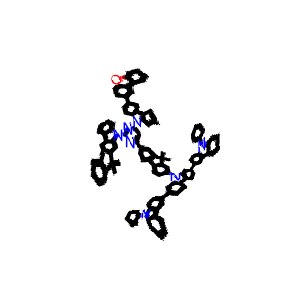 CC1(C)c2cc(-c3cc(-n4c5ccccc5c5cc(-c6ccc7oc8ccccc8c7c6)ccc54)nc(-n4c5ccccc5c5cc6c(cc54)C(C)(C)c4ccccc4-6)n3)ccc2-c2ccc(-n3c4cc(-c5ccc6c(c5)c5ccccc5n6-c5ccccc5)ccc4c4ccc(-c5ccc6c(c5)c5ccccc5n6-c5ccccc5)cc43)cc21